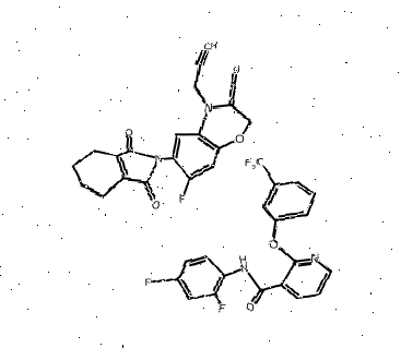 C#CCN1C(=O)COc2cc(F)c(N3C(=O)C4=C(CCCC4)C3=O)cc21.O=C(Nc1ccc(F)cc1F)c1cccnc1Oc1cccc(C(F)(F)F)c1